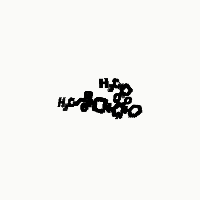 CCCS(=O)(=O)N1CCN(c2cnn(C3CCCCC3)c(=O)c2O[C@@H]2CCC[C@H]2C)CC1